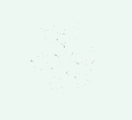 Cc1c(C)c(C)c2sc3c(-n4c5ccccc5c5ccccc54)c4sc5c(C)c(C)c(C)c(C)c5sc4c(N4c5ccccc5C(C)(C)c5ccccc54)c3sc2c1C